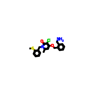 CSc1ccccc1Cn1c(C)cc(OCc2ccccc2CN)c(Cl)c1=O